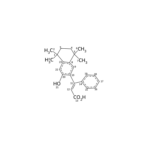 CC1(C)CCC(C)(C)c2cc(C(=CC(=O)O)c3ccccc3)c(O)cc21